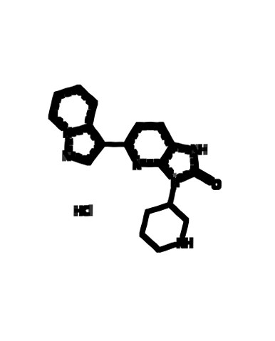 Cl.O=c1[nH]c2ccc(-c3cnn4ccccc34)nc2n1C1CCCNC1